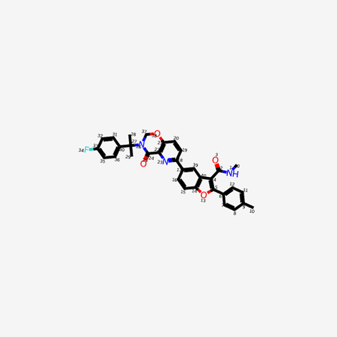 CNC(=O)c1c(-c2ccc(C)cc2)oc2ccc(-c3ccc4c(n3)C(=O)N(C(C)(C)c3ccc(F)cc3)CO4)cc12